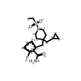 CCS(=O)(=O)N1CCC(Cc2cccc(F)c2C(N)=O)(CC2CC2)CC1